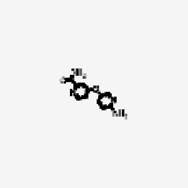 NC(=O)c1cc(Oc2ccc(N)nc2)ccn1